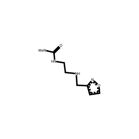 CNC(=O)NCCNCc1ccon1